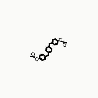 c1cc(Cc2ccc(OC3CO3)cc2)ccc1Cc1ccc(OC2CO2)cc1